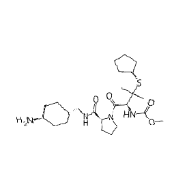 COC(=O)N[C@@H](C(=O)N1CCC[C@H]1C(=O)NC[C@H]1CC[C@H](N)CC1)C(C)(C)SC1CCCC1